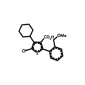 COCc1ccccc1-c1sc(Cl)c(C2CCCCC2)c1C(=O)O